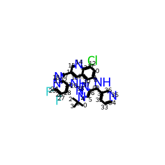 CC(C)(C)n1cc([C@@H](Nc2cc(Cl)c3ncc(C#N)c(Nc4cnc(F)c(F)c4)c3c2)c2cccnc2)nn1